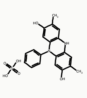 Cc1cc2c(cc1O)N(c1ccccc1)c1cc(O)c(C)cc1N2.O=S(=O)(O)O